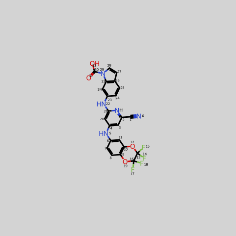 N#Cc1cc(Nc2ccc3c(c2)OC(F)(F)C(F)(F)O3)cc(Nc2ccc3ccn(C(=O)O)c3c2)n1